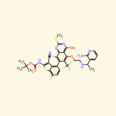 CSc1nc(O)c2c(OCCN[C@H](C)c3cccnc3N)c(C(F)(F)F)c(-c3ccc(F)c4sc(NC(=O)OC(C)(C)C)c(C#N)c34)c(F)c2n1